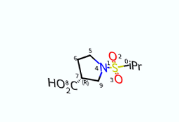 CC(C)S(=O)(=O)N1CC[C@@H](C(=O)O)C1